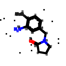 COc1ccc(CN2CCCC2=O)cc1N